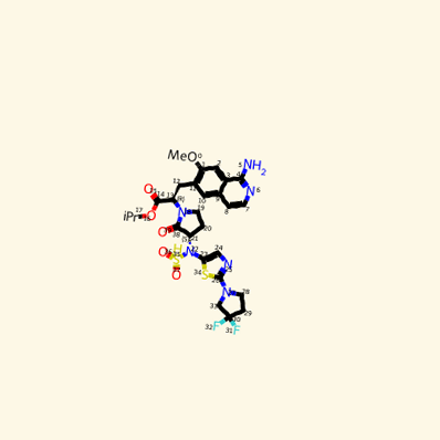 COc1cc2c(N)nccc2cc1C[C@H](C(=O)OC(C)C)N1CC[C@H](N(c2cnc(N3CCC(F)(F)C3)s2)[SH](=O)=O)C1=O